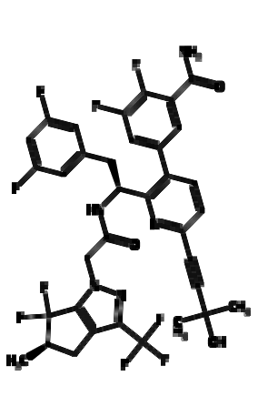 C[C@@H]1Cc2c(C(F)(F)F)nn(CC(=O)N[C@@H](Cc3cc(F)cc(F)c3)c3nc(C#CC(C)(C)O)ccc3-c3cc(F)c(F)c(C(N)=O)c3)c2C1(F)F